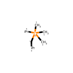 CC(C)CP(C)(C)(C)C(C)C